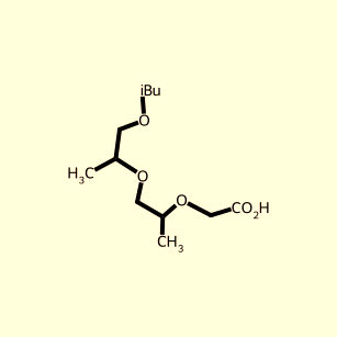 CCC(C)OCC(C)OCC(C)OCC(=O)O